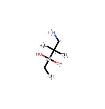 CC[Si](O)(O)C(C)(C)CN